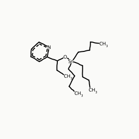 CCC[CH2][Sn]([CH2]CCC)([CH2]CCC)[O]C(CC)c1ccccn1